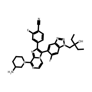 CCC(O)(CC)Cn1nnc2cc(-c3c(-c4ccc(C#N)c(F)c4)nc4c(N5CCCC(N)C5)nccn34)c(F)cc21